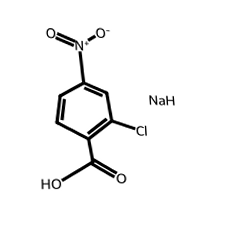 O=C(O)c1ccc([N+](=O)[O-])cc1Cl.[NaH]